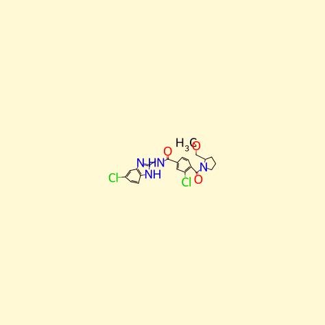 COCC1CCCN1C(=O)c1ccc(C(=O)NCc2nc3cc(Cl)ccc3[nH]2)cc1Cl